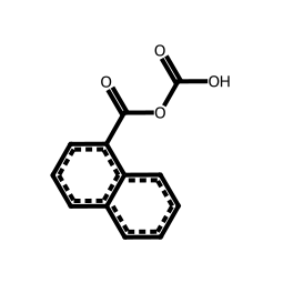 O=C(O)OC(=O)c1cccc2ccccc12